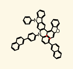 c1ccc(-n2c3ccccc3c3cc(-c4cccc5oc6ccccc6c45)c(N(c4ccc(-c5ccc6ccccc6c5)cc4)c4ccc(-c5ccc6ccccc6c5)cc4)cc32)cc1